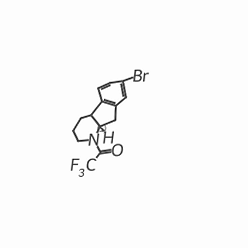 O=C(N1CCCC2c3ccc(Br)cc3C[C@@H]21)C(F)(F)F